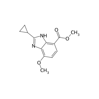 COC(=O)c1ccc(OC)c2nc(C3CC3)[nH]c12